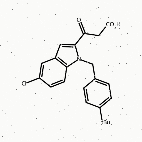 CC(C)(C)c1ccc(Cn2c(C(=O)CC(=O)O)cc3cc(Cl)ccc32)cc1